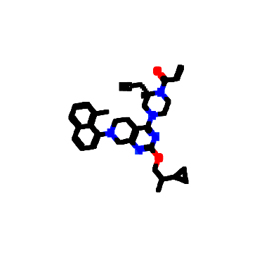 C=CC(=O)N1CCN(c2nc(OCC(C)C3CC3)nc3c2CCN(c2cccc4cccc(C)c24)C3)C[C@@H]1CC#N